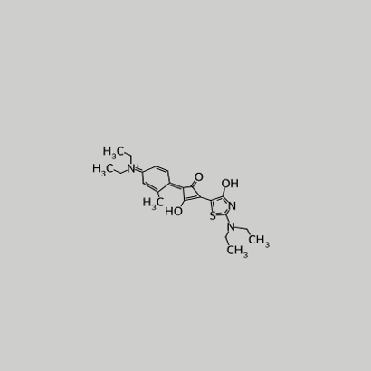 CCN(CC)c1nc(O)c(C2=C(O)/C(=C3/C=CC(=[N+](CC)CC)C=C3C)C2=O)s1